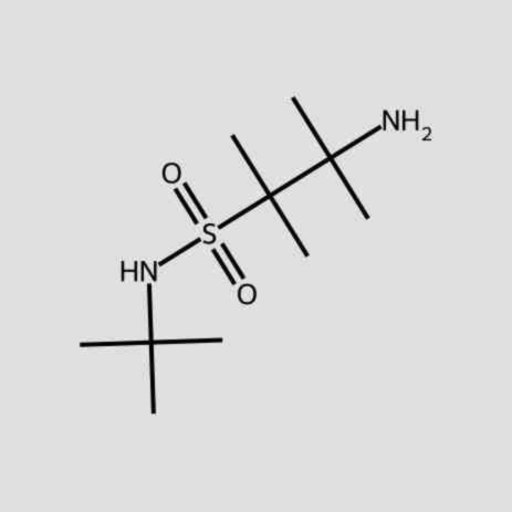 CC(C)(C)NS(=O)(=O)C(C)(C)C(C)(C)N